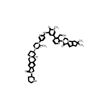 C[C@H]1CN([C@@H]2CCN3Cc4cc5c(cc4C[C@@H]3C2)CN(C2CCCNC2)C5=O)CCN1c1ccc(Nc2cc(-c3ccnc(N4CCn5c(cc6c5CC(C)(C)C6)C4=O)c3CO)cn(C)c2=O)nc1